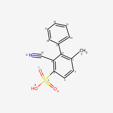 Cc1ccc(S(=O)(=O)O)c(C#N)c1-c1ccccc1